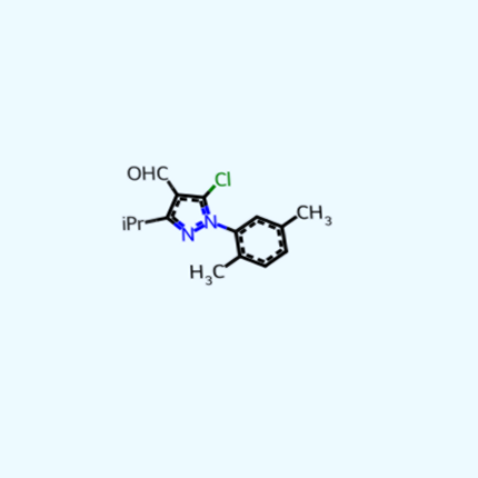 Cc1ccc(C)c(-n2nc(C(C)C)c(C=O)c2Cl)c1